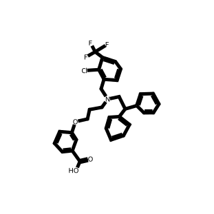 O=C(O)c1cccc(OCCCN(Cc2cccc(C(F)(F)F)c2Cl)CC(c2ccccc2)c2ccccc2)c1